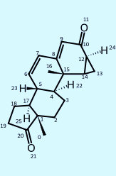 C[C@]12CC[C@H]3[C@@H](C=CC4=CC(=O)[C@H]5CC5[C@@]43C)[C@@H]1CCC2=O